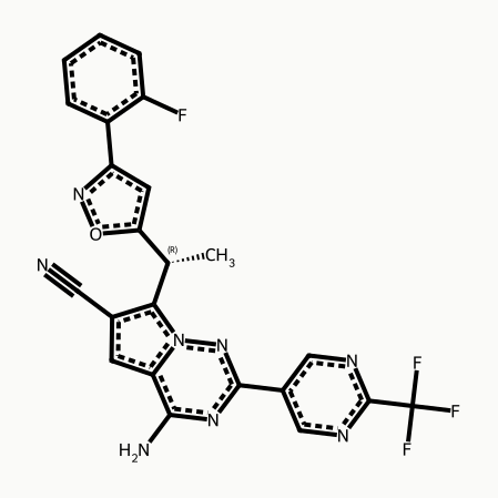 C[C@@H](c1cc(-c2ccccc2F)no1)c1c(C#N)cc2c(N)nc(-c3cnc(C(F)(F)F)nc3)nn12